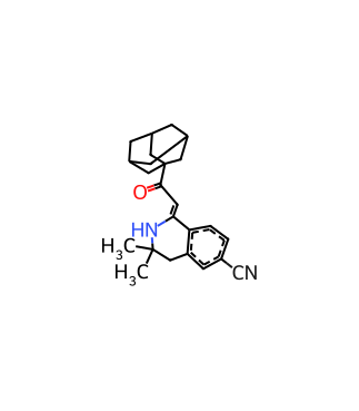 CC1(C)Cc2cc(C#N)ccc2C(=CC(=O)C23CC4CC(CC(C4)C2)C3)N1